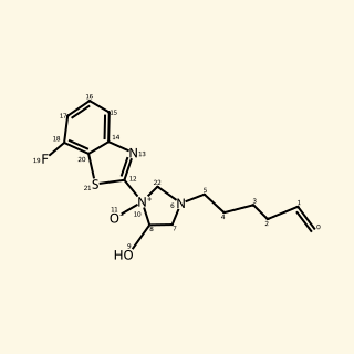 C=CCCCCN1CC(O)[N+]([O-])(c2nc3cccc(F)c3s2)C1